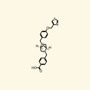 O=C(O)c1ccc(CN2C[C@@H]3C[C@H]2CN3Cc2ccc(OCc3cscn3)cc2)cc1